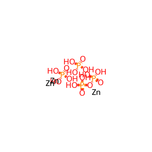 O=P(O)(O)O.O=P(O)(O)O.O=P(O)(O)OP(=O)(O)O.[Zn].[Zn].[Zn]